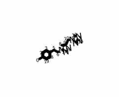 Cc1ccc(CCn2cc(Cn3cnnn3)nn2)cc1